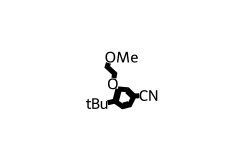 COCCOc1cc(C#N)ccc1C(C)(C)C